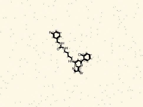 O=C(NCCCCNc1cc(-c2ccccc2Cl)nc2c(Br)cnn12)NCc1cccc(F)c1